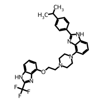 CC(C)c1ccc(-c2nc3c(N4CCN(CCOc5cccc6[nH]c(C(F)(F)F)nc56)CC4)cccc3[nH]2)cc1